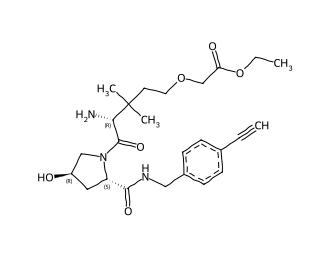 C#Cc1ccc(CNC(=O)[C@@H]2C[C@@H](O)CN2C(=O)[C@H](N)C(C)(C)CCOCC(=O)OCC)cc1